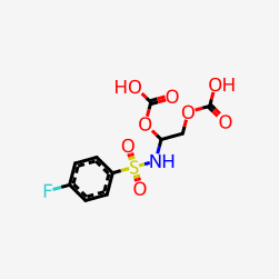 O=C(O)OCC(NS(=O)(=O)c1ccc(F)cc1)OC(=O)O